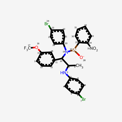 CC(Nc1ccc(Br)cc1)C(c1cccc(OC(F)(F)F)c1)N(c1ccc(Br)cc1)[S+]([O-])c1ccccc1[N+](=O)[O-]